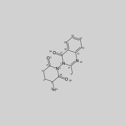 [2H]C1CCC(=O)N(n2c(C)nc3ccccc3c2=O)C1=O